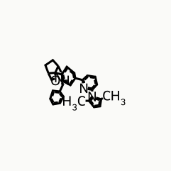 Cc1ccc(C)n1-c1cccc(-c2ccc(C3(O)C4CCC3CN(Cc3ccccc3)C4)cc2)n1